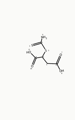 NC(=S)SC(CC(=O)O)C(=O)O